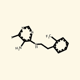 Nc1c(I)ncnc1NCCc1ccccc1C(F)(F)F